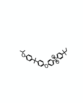 CCC(C)(C)c1ccc(S(=O)(=O)c2ccc(Oc3ccc(C(C)(C)c4ccc(OC(C)C)cc4)cc3)cc2)cc1